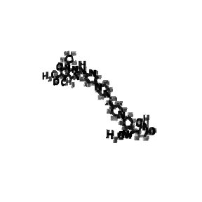 CC(=O)c1c(C)c2cnc(Nc3ccc(N4CCN(CCC5CCN(c6ccc7c(C8CCC(=O)NC8=O)nn(C)c7c6)CC5)CC4)cn3)nc2n(C2CCCC2)c1=O